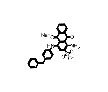 Nc1c(S(=O)(=O)[O-])cc(Nc2ccc(Cc3ccccc3)cc2)c2c1C(=O)c1ccccc1C2=O.[Na+]